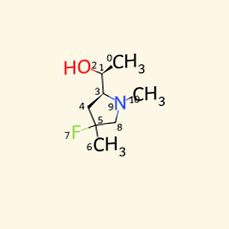 C[C@H](O)[C@@H]1CC(C)(F)CN1C